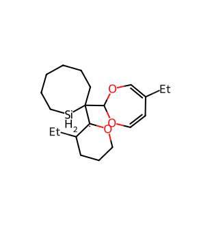 CCC1=COC(C2([C]3OCCCC3CC)CCCCCC[SiH2]2)OC=C1